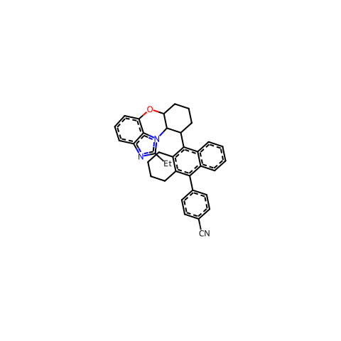 CCc1nc2cccc3c2n1C1C(CCCC1c1c2c(c(-c4ccc(C#N)cc4)c4ccccc14)CCCC2)O3